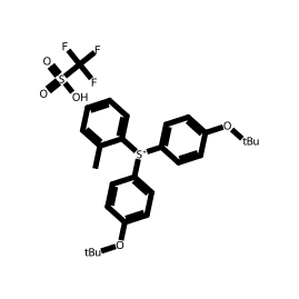 Cc1ccccc1[S+](c1ccc(OC(C)(C)C)cc1)c1ccc(OC(C)(C)C)cc1.O=S(=O)(O)C(F)(F)F